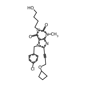 Cn1c(=O)n(CCCCO)c(=O)c2c1nc(C#CCOC1CCC1)n2Cc1ccc(Cl)cc1